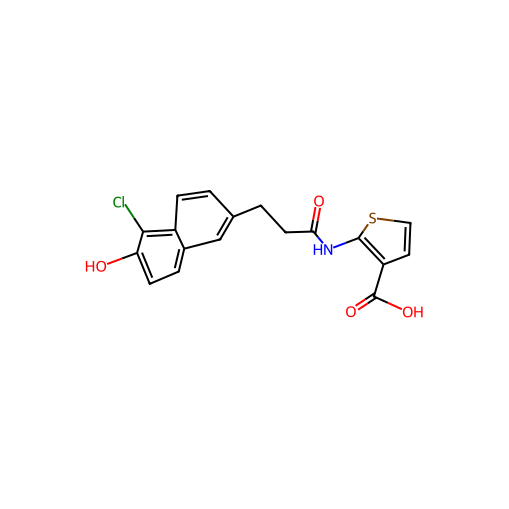 O=C(CCc1ccc2c(Cl)c(O)ccc2c1)Nc1sccc1C(=O)O